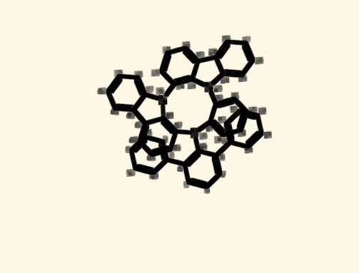 c1ccc(-c2cccc(-c3ccccc3)c2B2c3ccccc3-n3c4ccccc4c4cccc(c43)-n3c4ccccc4c4cccc2c43)cc1